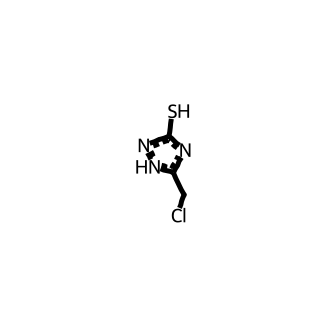 Sc1n[nH]c(CCl)n1